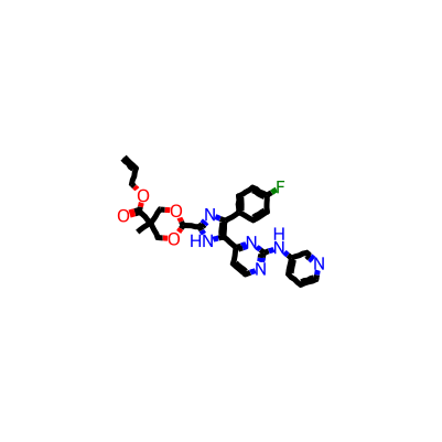 C=CCOC(=O)C1(C)COC(c2nc(-c3ccc(F)cc3)c(-c3ccnc(Nc4cccnc4)n3)[nH]2)OC1